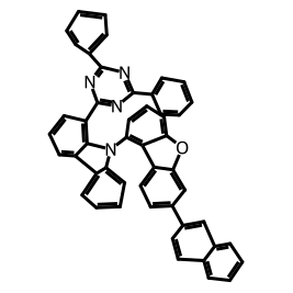 c1ccc(-c2nc(-c3ccccc3)nc(-c3cccc4c5ccccc5n(-c5cccc6oc7cc(-c8ccc9ccccc9c8)ccc7c56)c34)n2)cc1